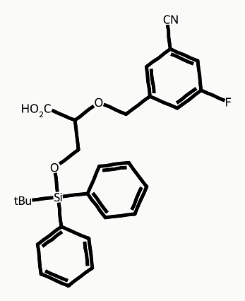 CC(C)(C)[Si](OCC(OCc1cc(F)cc(C#N)c1)C(=O)O)(c1ccccc1)c1ccccc1